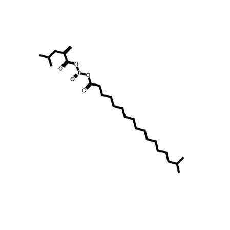 C=C(CC(C)C)C(=O)[O][Ti](=[O])[O]C(=O)CCCCCCCCCCCCCCC(C)C